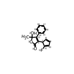 CC1(O)OC(=O)C(C2C=CC=C2F)=C1c1ccccc1